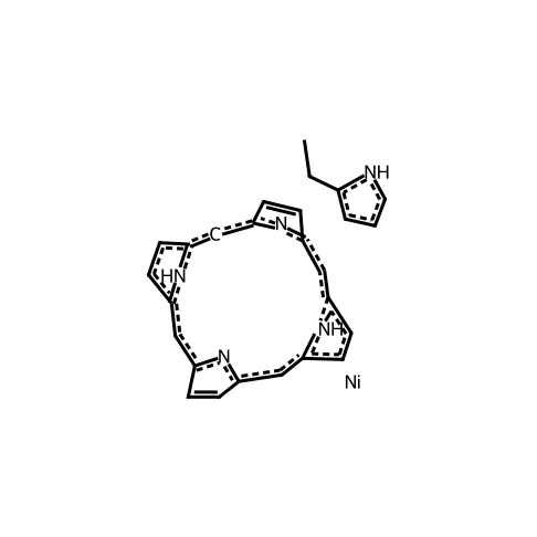 C1=Cc2cc3ccc(cc4nc(cc5ccc(cc1n2)[nH]5)C=C4)[nH]3.CCc1ccc[nH]1.[Ni]